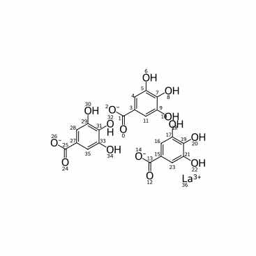 O=C([O-])c1cc(O)c(O)c(O)c1.O=C([O-])c1cc(O)c(O)c(O)c1.O=C([O-])c1cc(O)c(O)c(O)c1.[La+3]